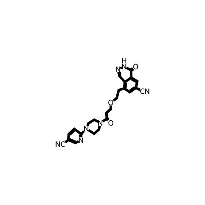 N#Cc1ccc(N2CCN(C(=O)CCOCCc3cc(C#N)cc4c(=O)[nH]ncc34)CC2)nc1